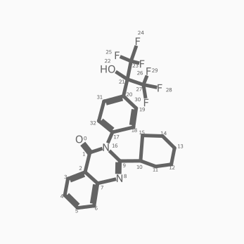 O=c1c2ccccc2nc(C2CCCCC2)n1-c1ccc(C(O)(C(F)(F)F)C(F)(F)F)cc1